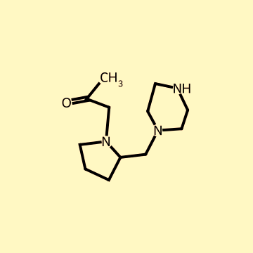 CC(=O)CN1CCCC1CN1CCNCC1